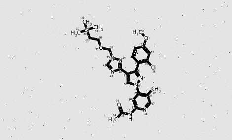 COc1ccc(-c2nn(-c3cc(NC(C)=O)ncc3C)cc2-c2ncn(COCC[Si](C)(C)C)n2)c(Cl)c1